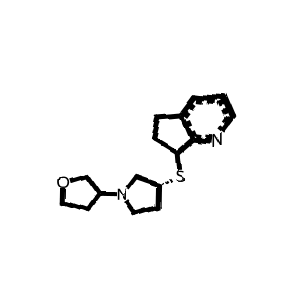 c1cnc2c(c1)CCC2S[C@@H]1CCN(C2CCOC2)C1